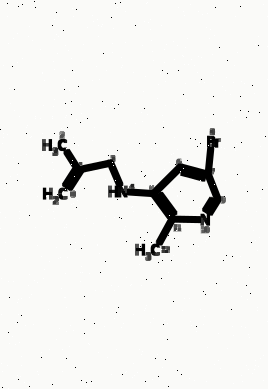 C=C(C)CNc1cc(Br)cnc1C